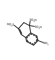 Nc1ccc2c(c1)C(S(=O)(=O)O)(S(=O)(=O)O)CC(S(=O)(=O)O)=C2